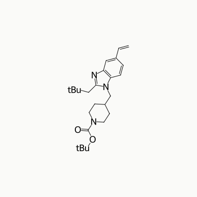 C=Cc1ccc2c(c1)nc(CC(C)(C)C)n2CC1CCN(C(=O)OC(C)(C)C)CC1